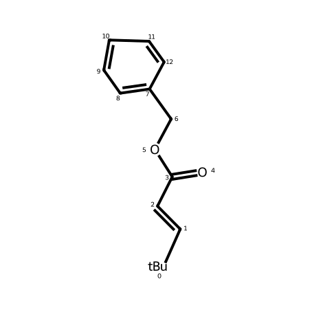 CC(C)(C)/C=C/C(=O)OCc1ccccc1